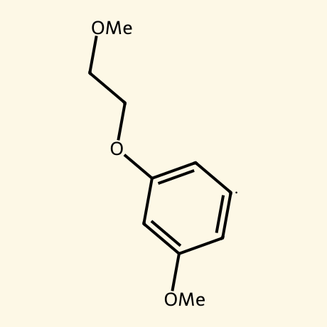 COCCOc1c[c]cc(OC)c1